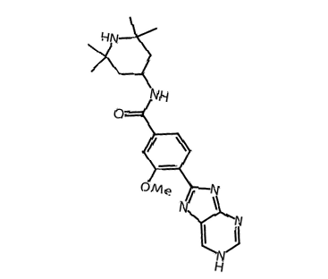 COc1cc(C(=O)NC2CC(C)(C)NC(C)(C)C2)ccc1-c1nc2c[nH]cnc-2n1